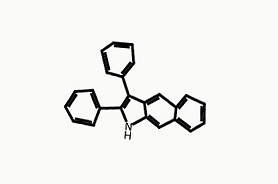 c1ccc(-c2[nH]c3cc4ccccc4cc3c2-c2ccccc2)cc1